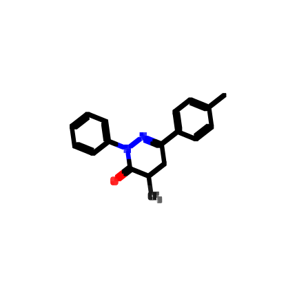 Cc1ccc(C2=NN(c3ccccc3)C(=O)C(C(F)(F)F)C2)cc1